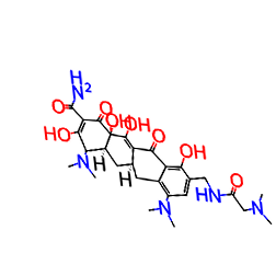 CN(C)CC(=O)NCc1cc(N(C)C)c2c(c1O)C(=O)C1=C(O)[C@@]3(O)C(=O)C(C(N)=O)=C(O)C(N(C)C)[C@@H]3C[C@@H]1C2